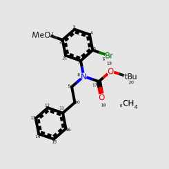 C.COc1ccc(Br)c(N(CCc2ccccc2)C(=O)OC(C)(C)C)c1